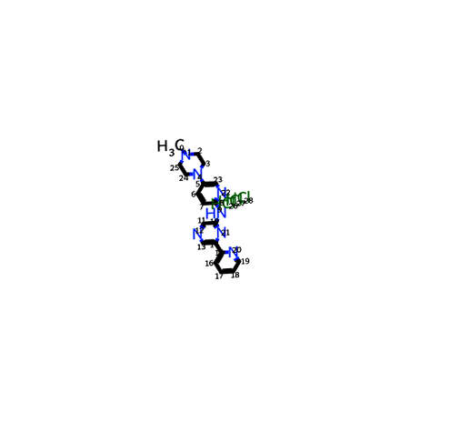 CN1CCN(c2ccc(Nc3cncc(-c4ccccn4)n3)nc2)CC1.Cl.Cl.Cl